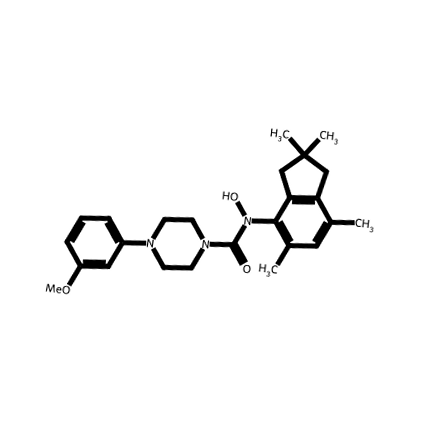 COc1cccc(N2CCN(C(=O)N(O)c3c(C)cc(C)c4c3CC(C)(C)C4)CC2)c1